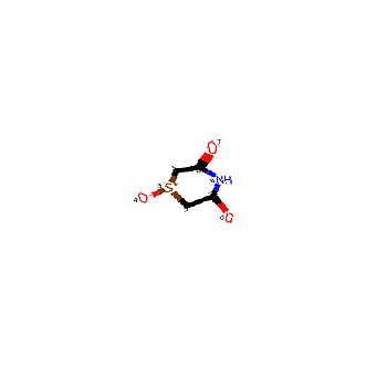 O=C1C[S+]([O-])CC(=O)N1